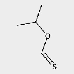 CC(C)OC=S